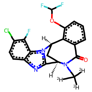 [2H]C([2H])([2H])N1C(=O)c2cccc(OC(F)F)c2[C@H]2C[C@@H]1c1nc3ccc(Cl)c(F)c3n12